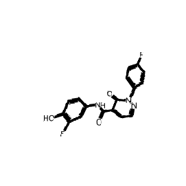 O=C(Nc1ccc(O)c(F)c1)c1ccnn(-c2ccc(F)cc2)c1=O